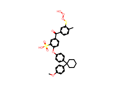 COc1ccc(C2(c3ccc(Oc4ccc(C(=O)c5ccc(C)c(SOOO)c5)cc4S(=O)(=O)O)cc3)CCCCC2)cc1